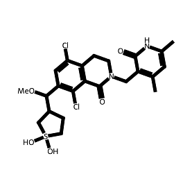 COC(c1cc(Cl)c2c(c1Cl)C(=O)N(Cc1c(C)cc(C)[nH]c1=O)CC2)C1CCS(O)(O)C1